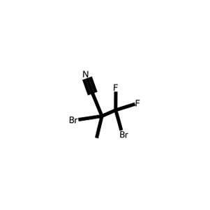 CC(Br)(C#N)C(F)(F)Br